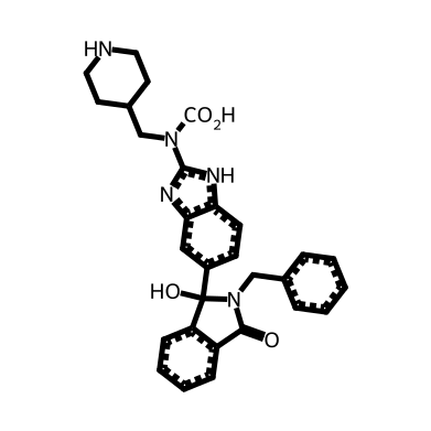 O=C(O)N(CC1CCNCC1)c1nc2cc(C3(O)c4ccccc4C(=O)N3Cc3ccccc3)ccc2[nH]1